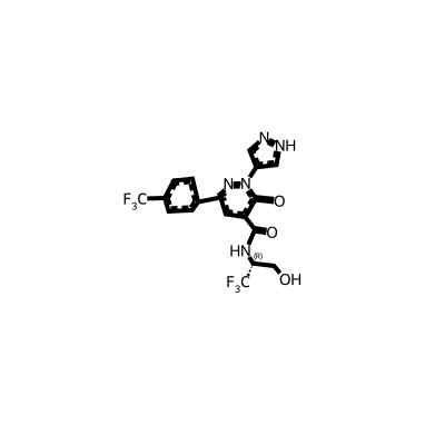 O=C(N[C@H](CO)C(F)(F)F)c1cc(-c2ccc(C(F)(F)F)cc2)nn(-c2cn[nH]c2)c1=O